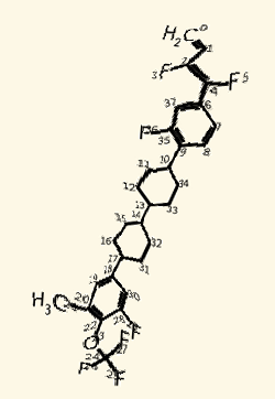 C=C/C(F)=C(\F)c1ccc(C2CCC(C3CCC(c4cc(C)c(OC(F)(F)F)c(F)c4)CC3)CC2)c(F)c1